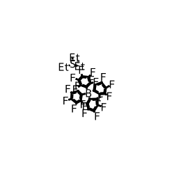 CC[S+](CC)CC.Fc1c(F)c(F)c([B-](c2c(F)c(F)c(F)c(F)c2F)(c2c(F)c(F)c(F)c(F)c2F)c2c(F)c(F)c(F)c(F)c2F)c(F)c1F